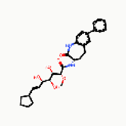 CO[C@@H](C(=O)N[C@H]1CCc2cc(-c3ccccc3)ccc2NC1=O)[C@H](O)[C@@H](O)[C@H](O)/C=C/C1CCCC1